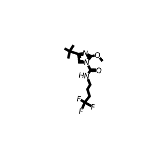 COc1nc(C(C)(C)C)cn1C(=O)NCCCC(F)(F)F